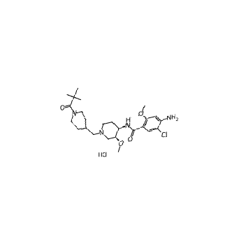 COc1cc(N)c(Cl)cc1C(=O)N[C@@H]1CCN(CC2CCN(C(=O)C(C)(C)C)CC2)C[C@@H]1OC.Cl